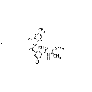 CSC[C@@H](C)NC(=O)c1cc(Cl)cc(Cl)c1NC(=O)c1ncc(C(F)(F)F)cc1Cl